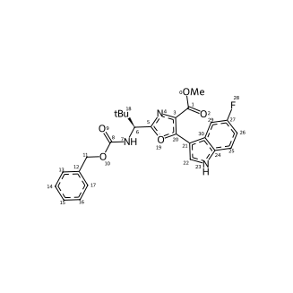 COC(=O)c1nc([C@@H](NC(=O)OCc2ccccc2)C(C)(C)C)oc1-c1c[nH]c2ccc(F)cc12